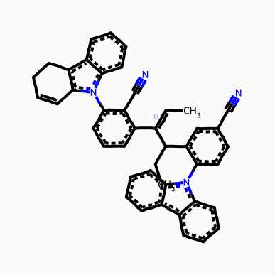 C/C=C(/c1cccc(-n2c3c(c4ccccc42)CCC=C3)c1C#N)C(CC)c1cc(C#N)ccc1-n1c2ccccc2c2ccccc21